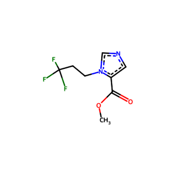 COC(=O)c1cncn1CCC(F)(F)F